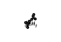 CC1(C)c2cc(-c3ccc(N(c4ccccc4)c4ccc5ccccc5c4)cc3)ccc2-n2c3ccccc3c3c4oc5ccccc5c4cc1c32